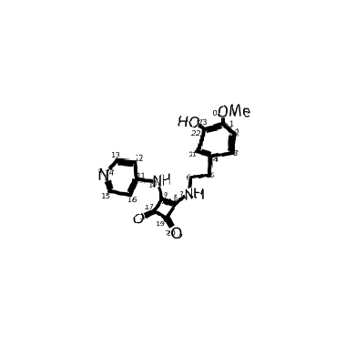 COc1ccc(CCNc2c(Nc3ccncc3)c(=O)c2=O)cc1O